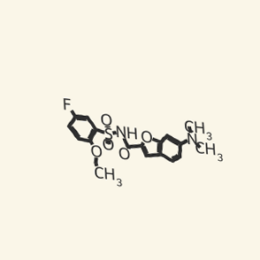 CCOc1ccc(F)cc1S(=O)(=O)NC(=O)c1cc2ccc(N(C)C)cc2o1